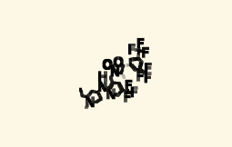 CCC1CC(Nc2ncc(C(F)(F)F)cc2CN2C(=O)O[C@H](c3cc(C(F)(F)F)cc(C(F)(F)F)c3)[C@@H]2C)CCN1C